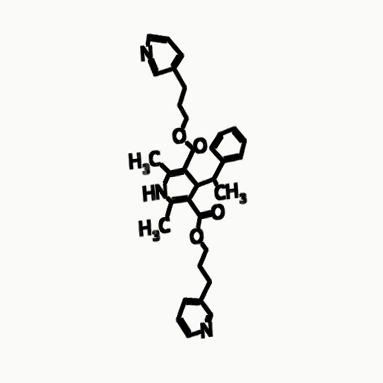 CC1=C(C(=O)OCCCc2cccnc2)C(C(C)c2ccccc2)C(C(=O)OCCCc2cccnc2)=C(C)N1